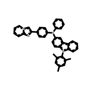 Cc1cc(C)c(-n2c3ccccc3c3cc(N(c4ccccc4)c4ccc(-c5cn6ccccc6n5)cc4)ccc32)c(C)c1